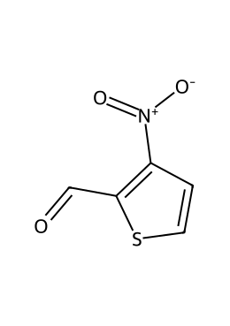 O=Cc1sccc1[N+](=O)[O-]